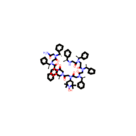 C[C@H](NCC(=O)N(CC(=O)N(CC(=O)N(CC(=O)N(CC(=O)N(CC(=O)N(CC(=O)N(CC(=O)N(CC(N)=O)[C@@H](C)c1ccccc1)[C@@H](C)c1ccccc1)[C@@H](C)c1ccccc1)[C@@H](C)c1ccccc1)C1CC(C)(C)N(O)C(C)(C)C1)[C@@H](C)c1ccccc1)[C@@H](C)c1ccccc1)[C@@H](C)c1ccccc1)c1ccccc1